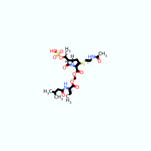 C/C=C(\NC(=O)CC(C)C)C(=O)OCOC(=O)C1=C(S/C=C/NC(C)=O)C[C@@H]2[C@H]([C@H](C)OS(=O)(=O)O)C(=O)N12